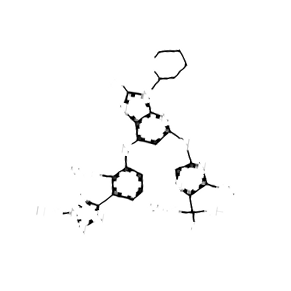 COc1c(Nc2cc(Nc3cnc(C(C)(C)OC)c(C#N)n3)nc3c2nc(C)n3C2CCCCO2)cccc1-c1nnn(C)n1